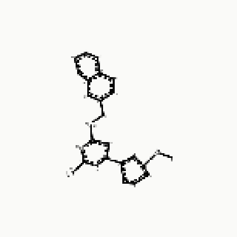 COc1cccc(-c2cc(NCc3ccc4ccccc4c3)nc(N)n2)c1